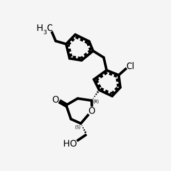 CCc1ccc(Cc2cc([C@H]3CC(=O)C[C@@H](CO)O3)ccc2Cl)cc1